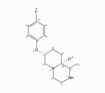 CC1NCCN2C[C@H](Oc3ccc(F)cc3)CC[C@@H]12